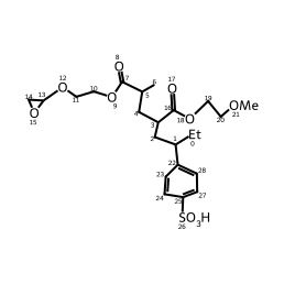 CCC(CC(CC(C)C(=O)OCCOC1CO1)C(=O)OCCOC)c1ccc(S(=O)(=O)O)cc1